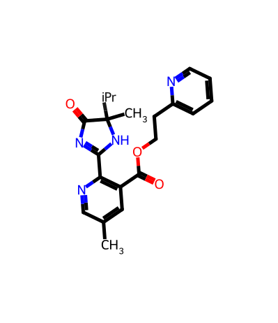 Cc1cnc(C2=NC(=O)C(C)(C(C)C)N2)c(C(=O)OCCc2ccccn2)c1